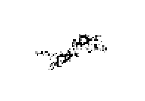 COc1cc(C(=O)N(C)c2cc3oc(=O)c(C(=O)O)cc3s2)ccc1N(C)C